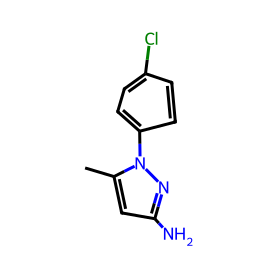 Cc1cc(N)nn1-c1ccc(Cl)cc1